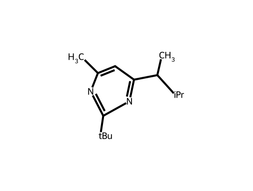 Cc1cc(C(C)C(C)C)nc(C(C)(C)C)n1